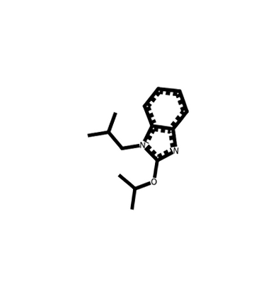 CC(C)Cn1c(OC(C)C)nc2ccccc21